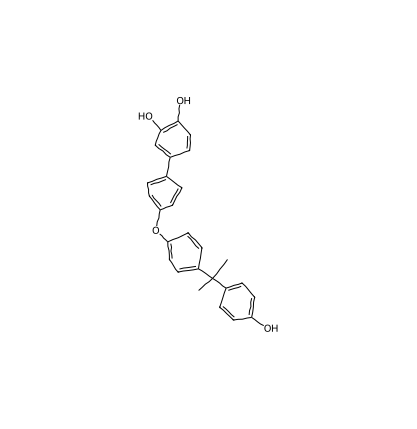 CC(C)(c1ccc(O)cc1)c1ccc(Oc2ccc(-c3ccc(O)c(O)c3)cc2)cc1